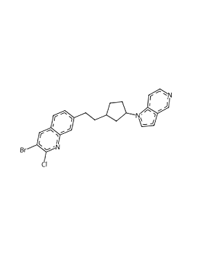 Clc1nc2cc(CCC3CCC(n4ccc5cnccc54)C3)ccc2cc1Br